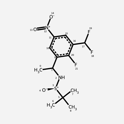 CC(N[S@+]([O-])C(C)(C)C)c1cc([N+](=O)[O-])cc(C(F)F)c1F